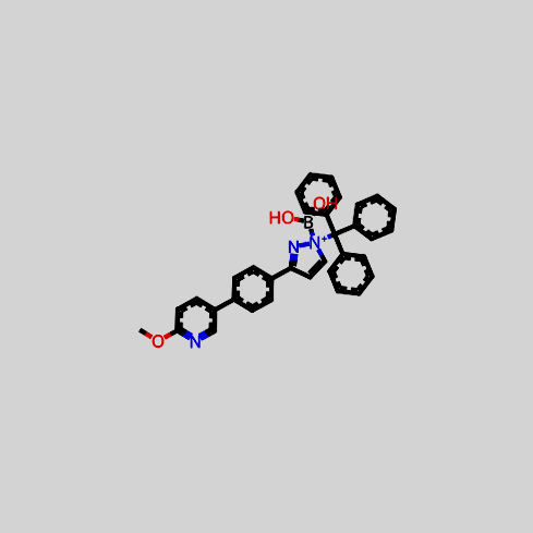 COc1ccc(-c2ccc(C3=N[N+](B(O)O)(C(c4ccccc4)(c4ccccc4)c4ccccc4)C=C3)cc2)cn1